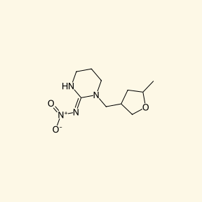 CC1CC(CN2CCCNC2=N[N+](=O)[O-])CO1